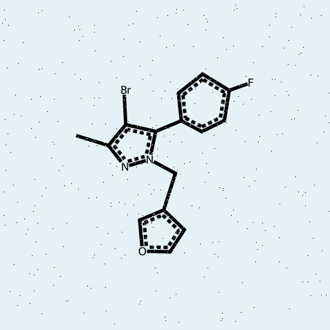 Cc1nn(Cc2ccoc2)c(-c2ccc(F)cc2)c1Br